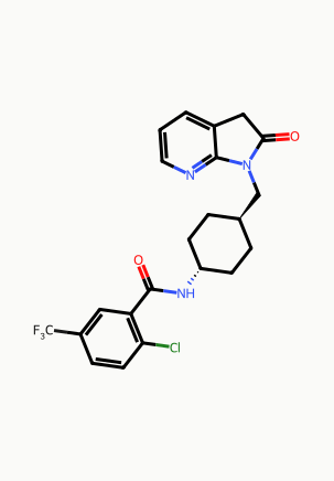 O=C(N[C@H]1CC[C@H](CN2C(=O)Cc3cccnc32)CC1)c1cc(C(F)(F)F)ccc1Cl